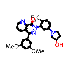 COc1cc(OC)cc(-c2nn(-c3cc(N4CCC(O)C4)ccc3C(F)(F)F)c(=O)c3ncccc23)c1